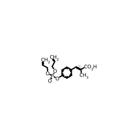 C=CCOP(=O)(OCC=C)Oc1ccc(/C=C(\C)C(=O)O)cc1